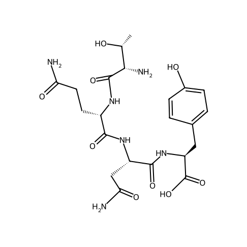 C[C@@H](O)[C@H](N)C(=O)N[C@@H](CCC(N)=O)C(=O)N[C@@H](CC(N)=O)C(=O)N[C@@H](Cc1ccc(O)cc1)C(=O)O